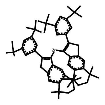 CC(C)(C)c1cc(C2=[C]([Zr][C]3=C(c4cc(C(C)(C)C)cc(C(C)(C)C)c4)Cc4cc5c(cc43)C(C)(C)CCC5(C)C)c3cc4c(cc3C2)C(C)(C)CCC4(C)C)cc(C(C)(C)C)c1